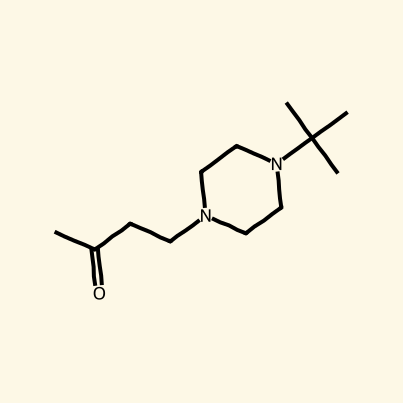 CC(=O)CCN1CCN(C(C)(C)C)CC1